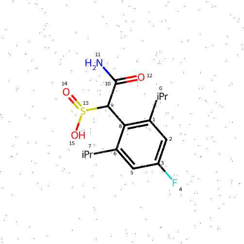 CC(C)c1cc(F)cc(C(C)C)c1C(C(N)=O)S(=O)O